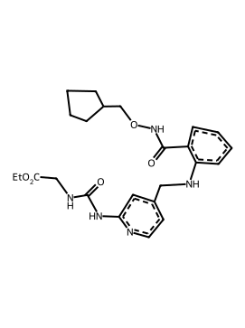 CCOC(=O)CNC(=O)Nc1cc(CNc2ccccc2C(=O)NOCC2CCCC2)ccn1